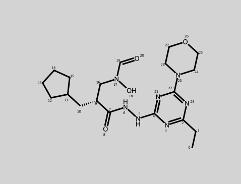 CCc1nc(NNC(=O)[C@H](CC2CCCC2)CN(O)C=O)nc(N2CCOCC2)n1